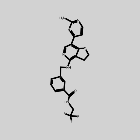 Nc1nccc(-c2cnc(NCc3cccc(C(=O)NCC(F)(F)F)c3)c3c2OCC3)n1